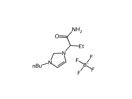 CCCCN1C=CN(C(CC)C(N)=O)C1.F[B-](F)(F)F